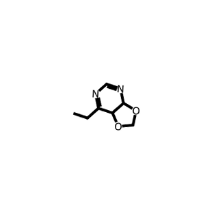 CCC1=NC=NC2OCOC12